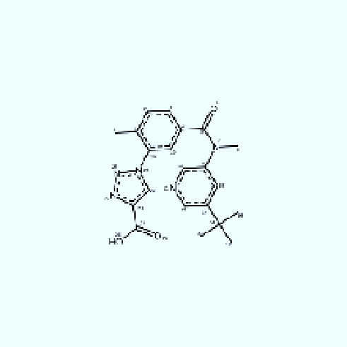 Cc1ccc(C(=O)N(C)c2cncc(C(C)(C)C)c2)cc1-n1cc(C(=O)O)nn1